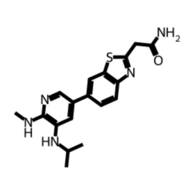 CNc1ncc(-c2ccc3nc(CC(N)=O)sc3c2)cc1NC(C)C